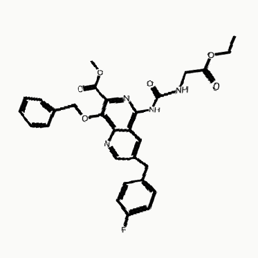 CCOC(=O)CNC(=O)Nc1nc(C(=O)OC)c(OCc2ccccc2)c2ncc(Cc3ccc(F)cc3)cc12